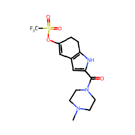 CN1CCN(C(=O)c2cc3c([nH]2)CCC(OS(=O)(=O)C(F)(F)F)=C3)CC1